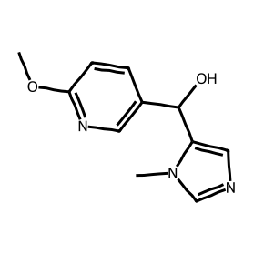 COc1ccc(C(O)c2cncn2C)cn1